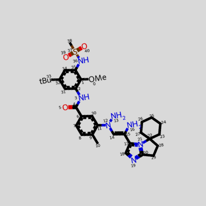 COc1c(NC(=O)c2ccc(C)c(N(N)/C=C(\N)c3cnc4n3C3(CCCCC3)CC4)c2)cc(C(C)(C)C)cc1NS(C)(=O)=O